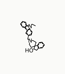 CCn1c2ccccc2c2cc(CN3CCC4(CC3)c3ccccc3C[C@@H]4O)ccc21